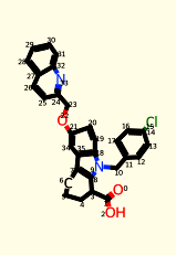 O=C(O)C1CCCc2c1n(Cc1ccc(Cl)cc1)c1ccc(OCc3ccc4ccccc4n3)cc21